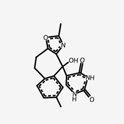 Cc1ccc2c(c1)C(O)(c1c[nH]c(=O)[nH]c1=O)c1nc(C)oc1CC2